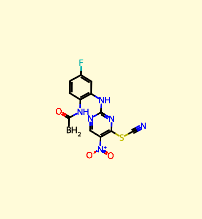 BC(=O)Nc1ccc(F)cc1Nc1ncc([N+](=O)[O-])c(SC#N)n1